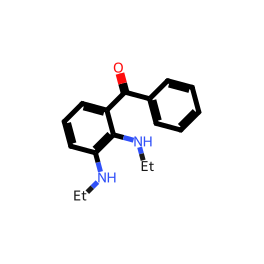 CCNc1cccc(C(=O)c2ccccc2)c1NCC